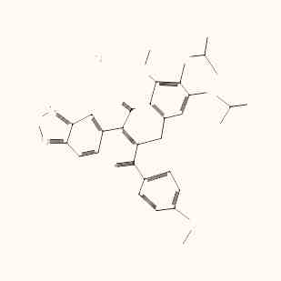 COc1ccc(C(=O)C(Cc2cc(OC)c(OC(C)C)c(OC(C)C)c2)=C(C(=O)[O-])c2ccc3nonc3c2)cc1.[Na+]